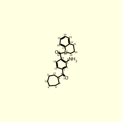 Nc1cc(C(=O)C2CCCCCC2)ccc1C(=O)N1CCCc2ccccc21